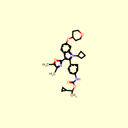 Cc1nc(-c2c(-c3ccc(NC(=O)OC(C)C4CC4)cc3)n(C3CCC3)c3cc(OC4CCOCC4)ccc23)oc1C